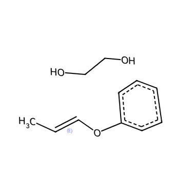 C/C=C/Oc1ccccc1.OCCO